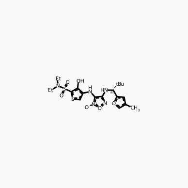 CCN(CC)S(=O)(=O)c1scc(Nc2c(N[C@@H](c3cc(C)co3)C(C)(C)C)no[n+]2[O-])c1O